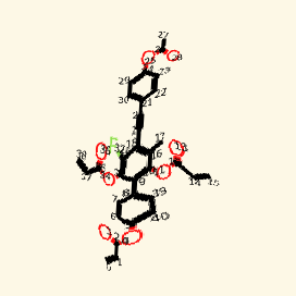 C=CC(=O)Oc1ccc(-c2c(OC(=O)C=C)c(C)c(C#Cc3ccc(OC(C)=O)cc3)c(F)c2OC(=O)C=C)cc1